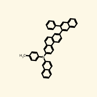 Cc1ccc(N(c2ccc3ccccc3c2)c2ccc3c(ccc4cc(-c5cc6ccccc6cc5-c5ccccc5)ccc43)c2)cc1